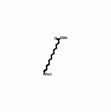 CCCCC/C=C/C=C/CCCCCCCCC(=O)OC